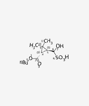 CCCCOC(=O)[C@H]1[C@H](C(O)S(=O)(=O)O)C1(C)C